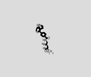 CN/C(C)=C\C(=N)CNC(=O)c1ccc(-c2nccc3[nH]ccc23)cc1